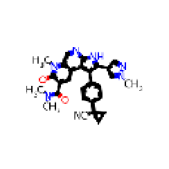 CN(C)C(=O)c1cc2c3c(-c4ccc(C5(C#N)CC5)cc4)c(-c4cnn(C)c4)[nH]c3ncc2n(C)c1=O